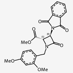 COC(=O)[C@@H]1[C@@H](N2C(=O)c3ccccc3C2=O)C(=O)N1Cc1ccc(OC)cc1OC